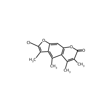 Cc1c(C)c2c(C)c3c(C)c(Cl)oc3cc2oc1=O